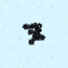 O=C(NC1CCCCCC1OC(=O)c1cc(OCc2ccccc2)c(C(=O)c2ccccc2C(=O)OCc2ccccc2)c(OCc2ccccc2)c1)c1ccc(OCc2ccccc2)cc1